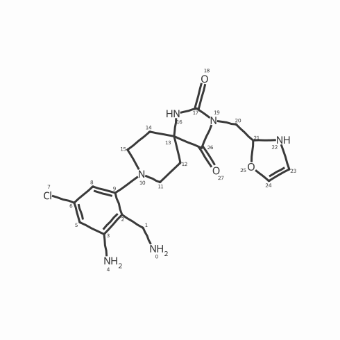 NCc1c(N)cc(Cl)cc1N1CCC2(CC1)NC(=O)N(CC1NC=CO1)C2=O